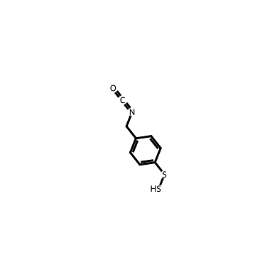 O=C=NCc1ccc(SS)cc1